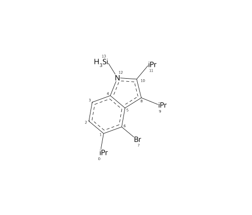 CC(C)c1ccc2c(c1Br)c(C(C)C)c(C(C)C)n2[SiH3]